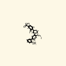 Nc1nnc(-c2ccccc2O)cc1N1CCC[C@H](c2ccc(C(=O)O)cc2F)C1